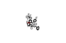 O=C(O)C(CCc1ccccc1)N[C@](Cc1ccccc1)(c1ccc(F)cc1)c1cc(F)cc(OC(F)(F)C(F)F)c1